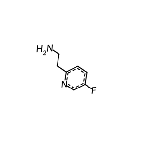 NCCc1ccc(F)cn1